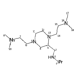 CC(C)NCC1CN(CCN(C)C)CCN1CCN(C)C